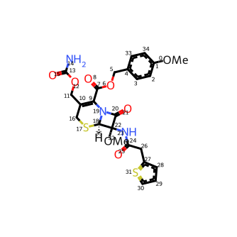 COc1ccc(COC(=O)C2=C(COC(N)=O)CS[C@H]3N2C(=O)C3(NC(=O)Cc2cccs2)OC)cc1